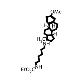 CCOC(=O)NCCCCCCN[C@H]1CC[C@H]2[C@@H]3CCc4cc(OC)ccc4[C@H]3CC[C@]12C